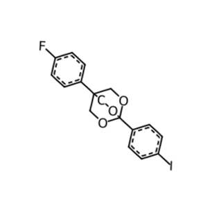 Fc1ccc(C23COC(c4ccc(I)cc4)(OC2)OC3)cc1